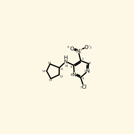 O=[N+]([O-])c1cnc(Cl)nc1NC1CCCC1